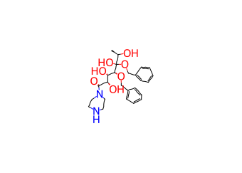 C[C@@H](O)C(O)(OCc1ccccc1)[C@@H](OCc1ccccc1)[C@H](O)[C@@H](O)C(=O)N1CCNCC1